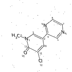 Cn1cc(-c2cnccn2)cc(Cl)c1=O